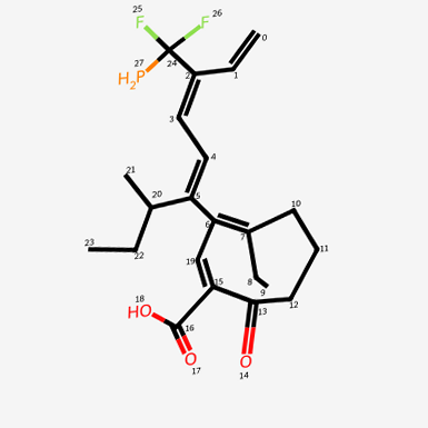 C=C\C(=C/C=C(C1=C(/CC)CCCC(=O)/C(C(=O)O)=C\1)\C(C)CC)C(F)(F)P